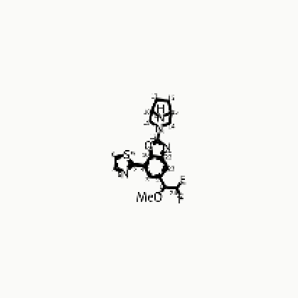 COC(c1cc(-c2nccs2)c2oc(N3CC4CCC(C3)N4)nc2c1)C(F)F